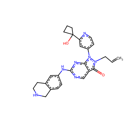 C=CCn1c(=O)c2cnc(Nc3ccc4c(c3)CCNC4)nc2n1-c1ccnc(C2(O)CCC2)c1